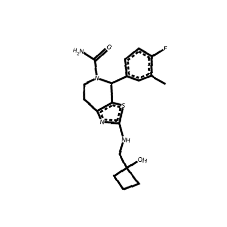 Cc1cc(C2c3sc(NCC4(O)CCC4)nc3CCN2C(N)=O)ccc1F